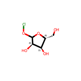 OC[C@H]1O[C](OCl)[C@H](O)[C@@H]1O